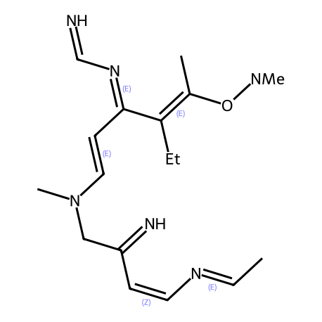 C/C=N/C=C\C(=N)CN(C)/C=C/C(=N\C=N)C(/CC)=C(\C)ONC